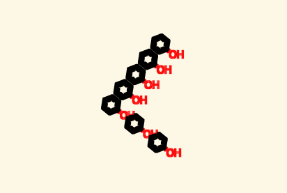 Oc1ccccc1.Oc1ccccc1.Oc1ccccc1.Oc1ccccc1.Oc1ccccc1.Oc1ccccc1.Oc1ccccc1